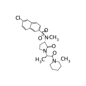 C[C@@H]1CCCCN1C(=O)[C@@H](C)N1CC[C@H](N(C)S(=O)(=O)c2ccc3cc(Cl)ccc3c2)C1=O